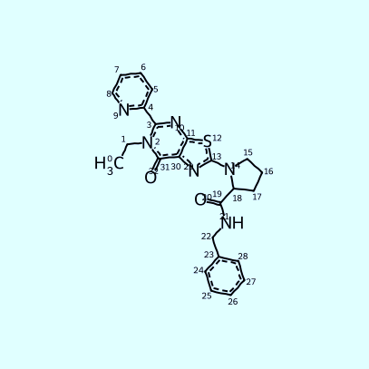 CCn1c(-c2ccccn2)nc2sc(N3CCCC3C(=O)NCc3ccccc3)nc2c1=O